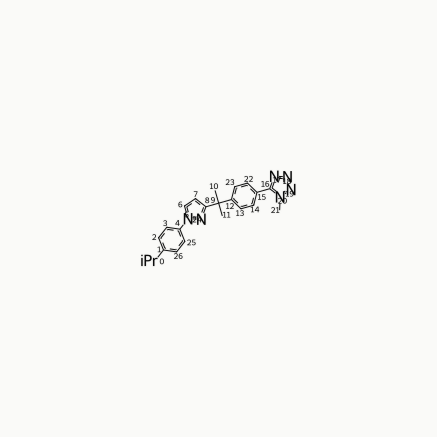 CC(C)c1ccc(-n2ccc(C(C)(C)c3ccc(-c4nnnn4C)cc3)n2)cc1